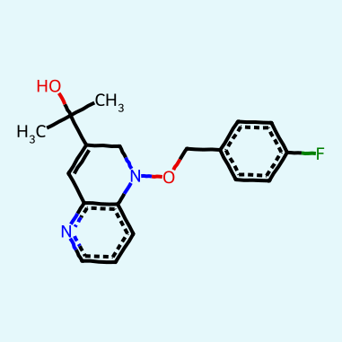 CC(C)(O)C1=Cc2ncccc2N(OCc2ccc(F)cc2)C1